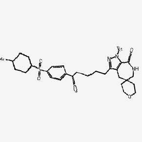 CCn1nc(CCCCC(=O)c2ccc(S(=O)(=O)C3CCC(C(C)=O)CC3)cc2)c2c1C(=O)NCC1(CCOCC1)C2